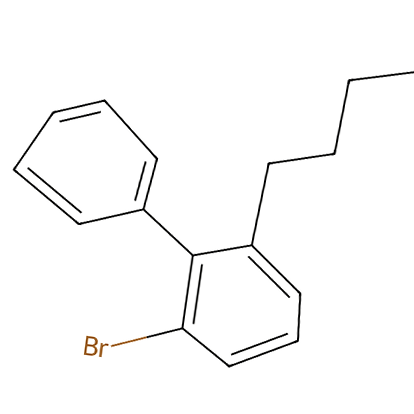 CCCCc1cccc(Br)c1-c1ccccc1